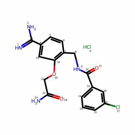 Cl.N=C(N)c1ccc(CNC(=O)c2cccc(Cl)c2)c(OCC(N)=O)c1